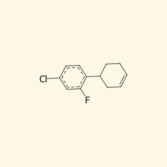 Fc1cc(Cl)ccc1C1CC=CCC1